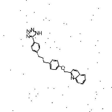 c1ccc2nc(COc3ccc(CCCc4ccc(-c5nnn[nH]5)cc4)cc3)ccc2c1